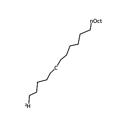 [2H]CCCCCCCCCCCCCCCCCCCC